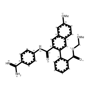 COCOC(=O)c1ccccc1-c1cc2ccc(OC)cc2cc1C(=O)Nc1ccc(C(=N)N)cc1